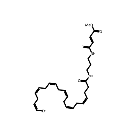 CC/C=C\C/C=C\C/C=C\C/C=C\C/C=C\C/C=C\CCC(=O)NCCCNC(=O)/C=C/C(=O)OC